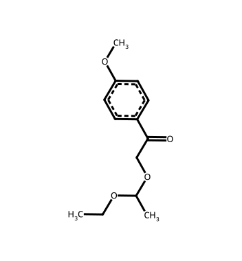 CCOC(C)OCC(=O)c1ccc(OC)cc1